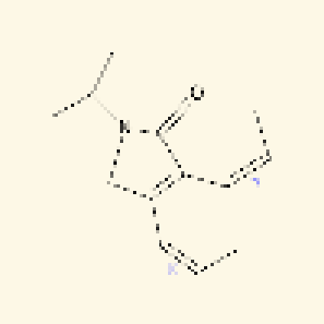 C/C=C\C1=C(/C=C\C)C(=O)N(C(C)C)C1